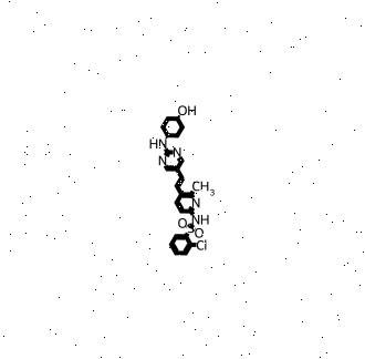 Cc1nc(NS(=O)(=O)c2ccccc2Cl)ccc1/C=C/c1cnc(N[C@H]2CC[C@H](O)CC2)nc1